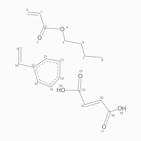 C=CC(=O)OCCCC.C=Cc1ccccc1.O=C(O)C=CC(=O)O